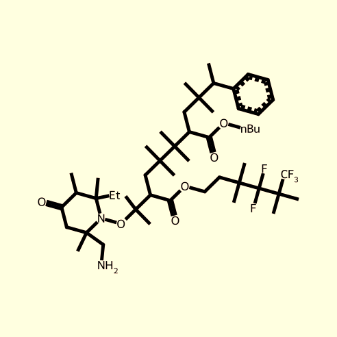 CCCCOC(=O)C(CC(C)(C)C(C)c1ccccc1)C(C)(C)C(C)(C)CC(C(=O)OCCC(C)(C)C(F)(F)C(C)(C)C(F)(F)F)C(C)(C)ON1C(C)(CN)CC(=O)C(C)C1(C)CC